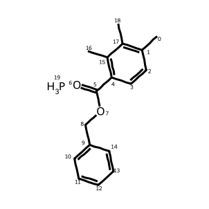 Cc1ccc(C(=O)OCc2ccccc2)c(C)c1C.P